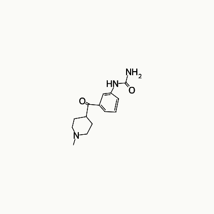 CN1CCC(C(=O)c2cccc(NC(N)=O)c2)CC1